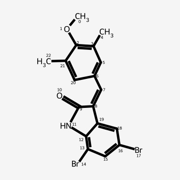 COc1c(C)cc(C=C2C(=O)Nc3c(Br)cc(Br)cc32)cc1C